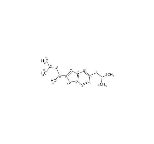 CC(C)Cc1ccc2sc(C(O)CC(C)C)cc2c1